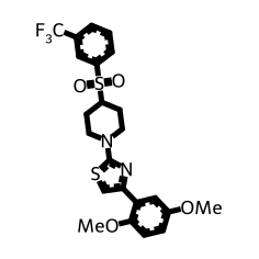 COc1ccc(OC)c(-c2csc(N3CCC(S(=O)(=O)c4cccc(C(F)(F)F)c4)CC3)n2)c1